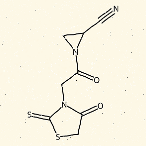 N#CC1CN1C(=O)CN1C(=O)CSC1=S